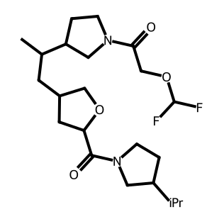 CC(C)C1CCN(C(=O)C2CC(CC(C)C3CCN(C(=O)COC(F)F)C3)CO2)C1